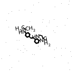 C=C(C)Nc1ccc(/C=C/c2cccc3c2NCCC(=C)N3)cc1